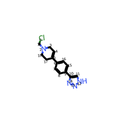 ClCN1CC=C(c2ccc(-c3c[nH]nn3)cc2)CC1